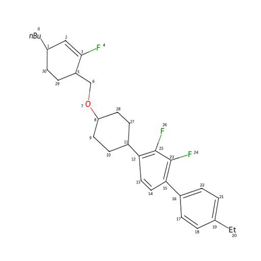 CCCCC1C=C(F)C(COC2CCC(c3ccc(-c4ccc(CC)cc4)c(F)c3F)CC2)CC1